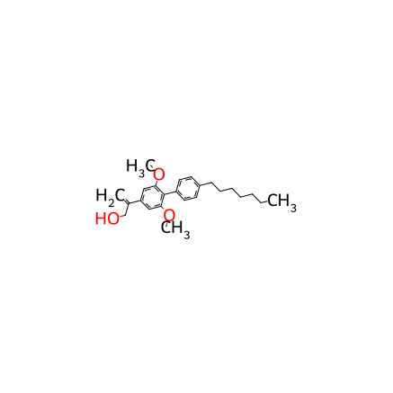 C=C(CO)c1cc(OC)c(-c2ccc(CCCCCCC)cc2)c(OC)c1